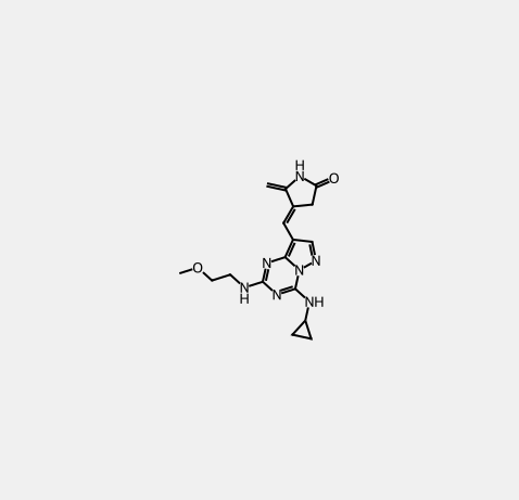 C=C1NC(=O)C/C1=C\c1cnn2c(NC3CC3)nc(NCCOC)nc12